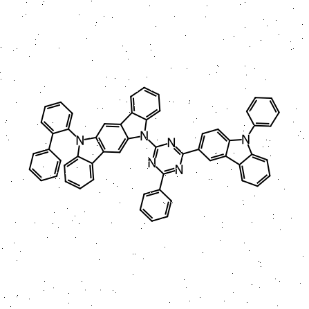 c1ccc(-c2nc(-c3ccc4c(c3)c3ccccc3n4-c3ccccc3)nc(-n3c4ccccc4c4cc5c(cc43)c3ccccc3n5-c3ccccc3-c3ccccc3)n2)cc1